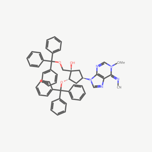 COn1cnc2c(ncn2[C@H]2C[C@H](OC(c3ccccc3)(c3ccccc3)c3ccccc3)[C@](O)(COC(c3ccccc3)(c3ccccc3)c3ccccc3)C2)/c1=N\C#N